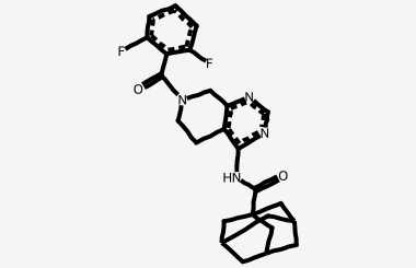 O=C(c1c(F)cccc1F)N1CCc2c(ncnc2NC(=O)C23CC4CC(CC(C4)C2)C3)C1